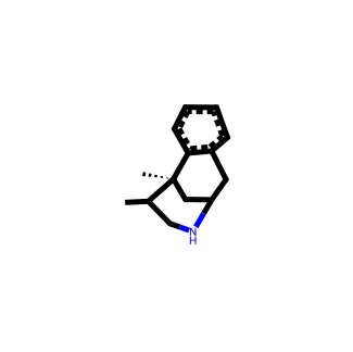 CC1CNC2Cc3ccccc3[C@@]1(C)C2